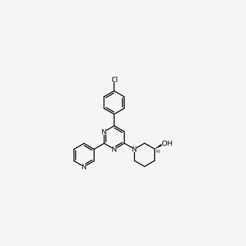 O[C@H]1CCCN(c2cc(-c3ccc(Cl)cc3)nc(-c3cccnc3)n2)C1